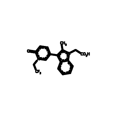 Cc1c(-c2ccc(=O)n(CC(F)(F)F)c2)c2ccccc2n1CC(=O)O